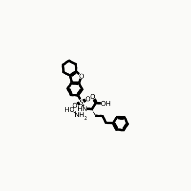 NO.O=C(O)[C@H](CCCc1ccccc1)NS(=O)(=O)c1ccc2c3c(oc2c1)CCCC3